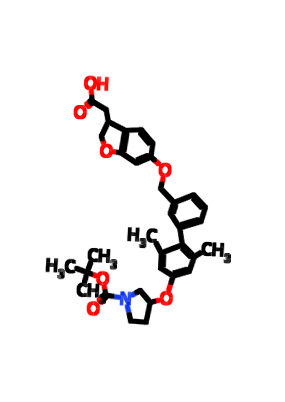 Cc1cc(OC2CCN(C(=O)OC(C)(C)C)C2)cc(C)c1-c1cccc(COc2ccc3c(c2)OCC3CC(=O)O)c1